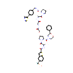 Cc1ncsc1-c1ccc([C@H](C)NC(=O)[C@@H]2C[C@@H](O)CN2C(=O)C(NC(=O)CNC(=O)CO[C@H]2C[C@@H](C(=O)N3CCOC(c4ccccc4)C3)N(C(=O)C(NC(=O)c3cc4cc(C(F)(F)P(=O)(O)O)ccc4s3)C(C)(C)C)C2)C(C)(C)C)cc1